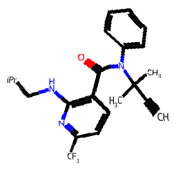 C#CC(C)(C)N(C(=O)c1ccc(C(F)(F)F)nc1NCC(C)C)c1ccccc1